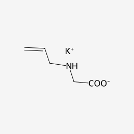 C=CCNCC(=O)[O-].[K+]